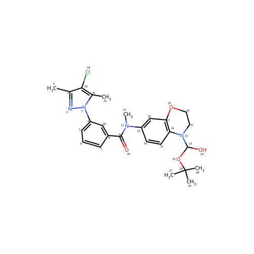 Cc1nn(-c2cccc(C(=O)N(C)c3ccc4c(c3)OCCN4C(O)OC(C)(C)C)c2)c(C)c1Cl